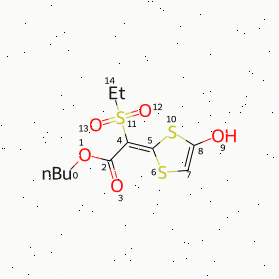 CCCCOC(=O)/C(=C1\SC=C(O)S1)S(=O)(=O)CC